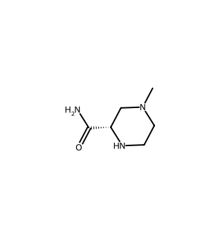 CN1CCN[C@H](C(N)=O)C1